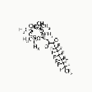 C[Si]1(C)O[Si](C)(C)O[Si](C)(CCC(=O)C(=O)C(F)(F)C(F)(F)C(F)(F)C(F)(F)C(F)(F)C(F)(F)C(F)(F)F)O[Si](C)(C)O1